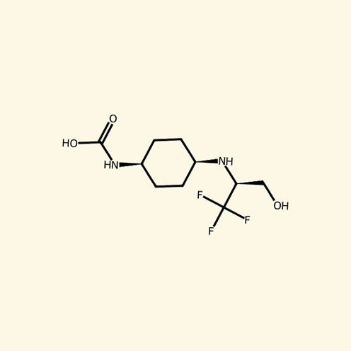 O=C(O)N[C@H]1CC[C@@H](N[C@@H](CO)C(F)(F)F)CC1